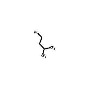 CC(C)CCC(C(F)(F)F)C(F)(F)F